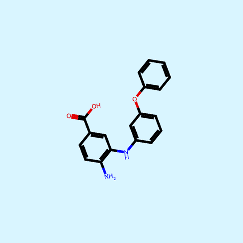 Nc1ccc(C(=O)O)cc1Nc1cccc(Oc2ccccc2)c1